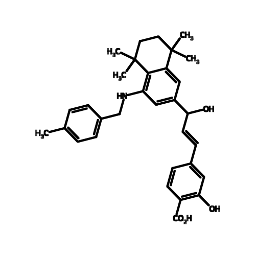 Cc1ccc(CNc2cc(C(O)/C=C/c3ccc(C(=O)O)c(O)c3)cc3c2C(C)(C)CCC3(C)C)cc1